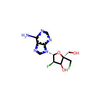 Nc1ncnc2c1ncn2[C@@H]1O[C@@](CO)(CF)[C@@H](O)[C@H]1F